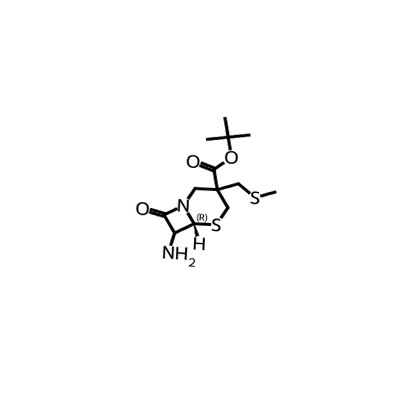 CSCC1(C(=O)OC(C)(C)C)CS[C@@H]2C(N)C(=O)N2C1